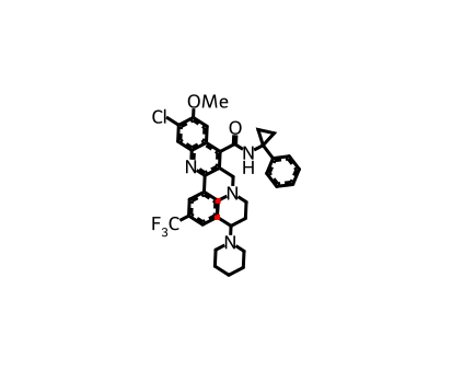 COc1cc2c(C(=O)NC3(c4ccccc4)CC3)c(CN3CCC(N4CCCCC4)CC3)c(-c3cccc(C(F)(F)F)c3)nc2cc1Cl